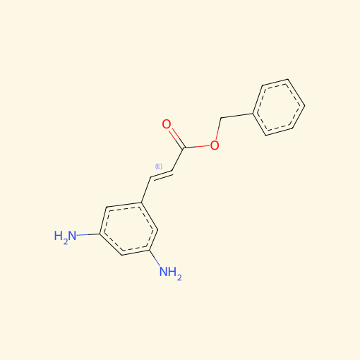 Nc1cc(N)cc(/C=C/C(=O)OCc2ccccc2)c1